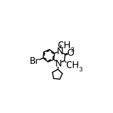 C[C@@H]1C(=O)N(C)c2ccc(Br)cc2N1C1CCCC1